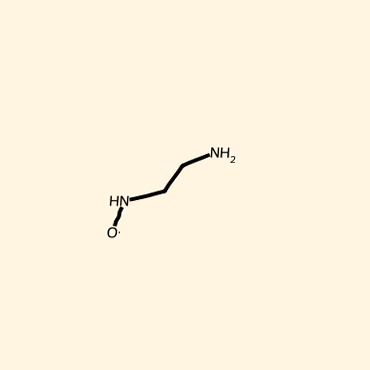 NCCN[O]